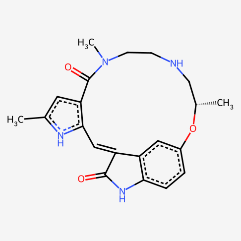 Cc1cc2c([nH]1)/C=C1\C(=O)Nc3ccc(cc31)O[C@@H](C)CNCCN(C)C2=O